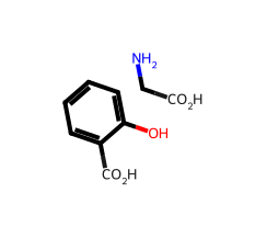 NCC(=O)O.O=C(O)c1ccccc1O